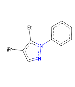 CCc1c(C(C)C)cnn1-c1ccccc1